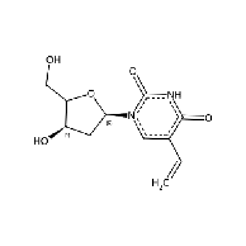 C=Cc1cn([C@H]2C[C@@H](O)C(CO)O2)c(=O)[nH]c1=O